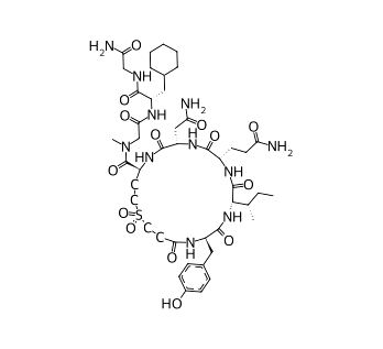 CC[C@H](C)[C@@H]1NC(=O)[C@@H](Cc2ccc(O)cc2)NC(=O)CCS(=O)(=O)CC[C@@H](C(=O)N(C)CC(=O)N[C@@H](CC2CCCCC2)C(=O)NCC(N)=O)NC(=O)[C@H](CC(N)=O)NC(=O)[C@H](CCC(N)=O)NC1=O